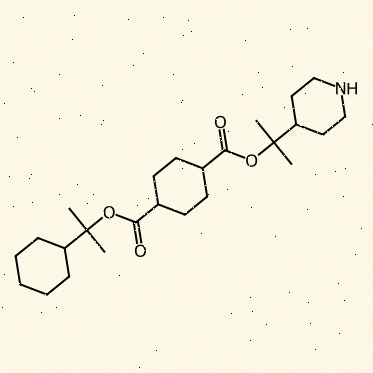 CC(C)(OC(=O)C1CCC(C(=O)OC(C)(C)C2CCNCC2)CC1)C1CCCCC1